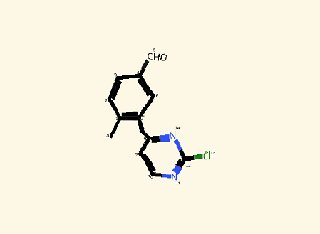 Cc1ccc(C=O)cc1-c1ccnc(Cl)n1